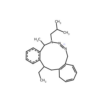 CCC1CC2=C(C=CC=CC2)C/N=N\N(CC(C)C)C(C)c2ccccc21